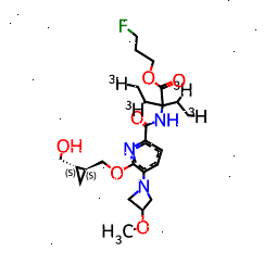 [3H]CC([3H])C(NC(=O)c1ccc(N2CC(OC)C2)c(OC[C@H]2C[C@@H]2CO)n1)(C(=O)OCCCF)C([3H])C[3H]